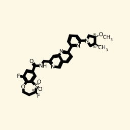 CO[C@H]1CN(c2cccc(-c3ccc4cnc(CNC(=O)c5cc(F)c6c(c5)S(=O)(=O)[C@@H](F)CCO6)cc4n3)n2)C[C@@H]1C